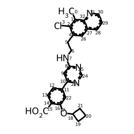 Cc1c(Cl)c(CCNc2cc(-c3ccc(C(=O)O)c(OC4CCC4)c3)ncn2)cc2cccnc12